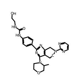 CC1COCCN1c1nc(-c2ccc(NC(=O)NCCO)cc2)nc2c1CCN(c1ncccn1)C2